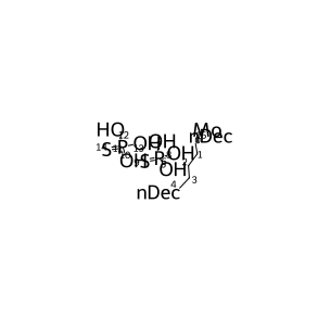 CCCCCCCCCCCCCCCCCCCCCCC.OP(O)(O)=S.OP(O)(O)=S.[Mo]